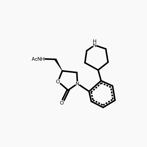 CC(=O)NC[C@H]1CN(c2ccccc2C2CCNCC2)C(=O)O1